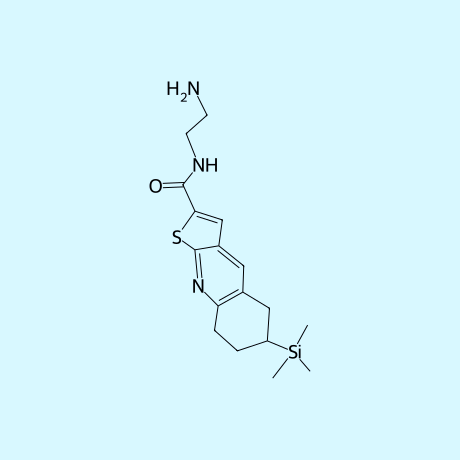 C[Si](C)(C)C1CCc2nc3sc(C(=O)NCCN)cc3cc2C1